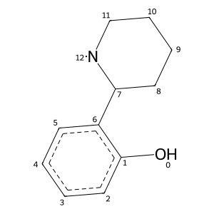 Oc1ccccc1C1CCCC[N]1